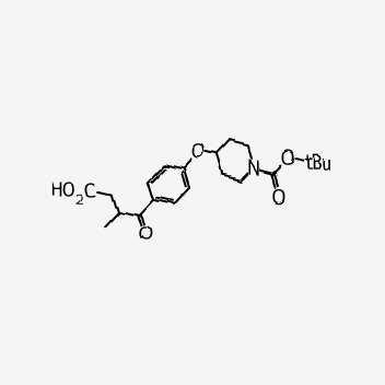 CC(CC(=O)O)C(=O)c1ccc(OC2CCN(C(=O)OC(C)(C)C)CC2)cc1